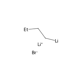 [Br-].[Li+].[Li][CH2]CCC